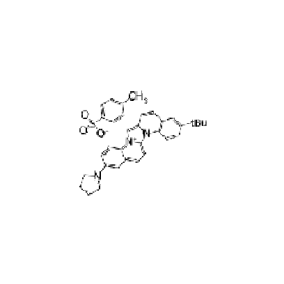 CC(C)(C)c1ccc2c(ccc3c[n+]4c5ccc(N6CCCC6)cc5ccc4n32)c1.Cc1ccc(S(=O)(=O)[O-])cc1